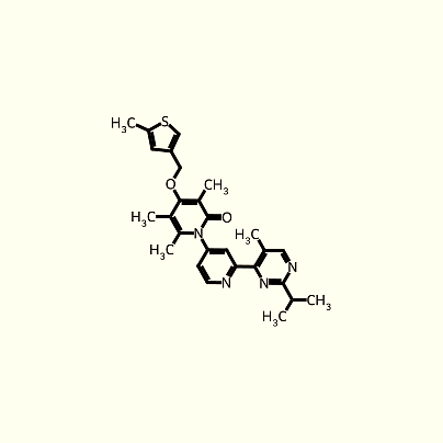 Cc1cc(COc2c(C)c(C)n(-c3ccnc(-c4nc(C(C)C)ncc4C)c3)c(=O)c2C)cs1